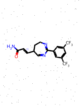 NC(=O)/C=C/C1C=NC(c2cc(C(F)(F)F)cc(C(F)(F)F)c2)=NCC1